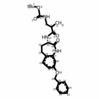 CC(CNC(=O)OC(C)(C)C)C(=O)N[C@H]1CCc2ccc(OCc3ccccc3)cc2NC1=O